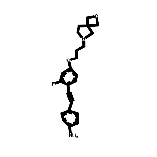 Nc1ccc(C#Cc2ccc(OCCCN3CCC4(COC4)C3)cc2F)cc1